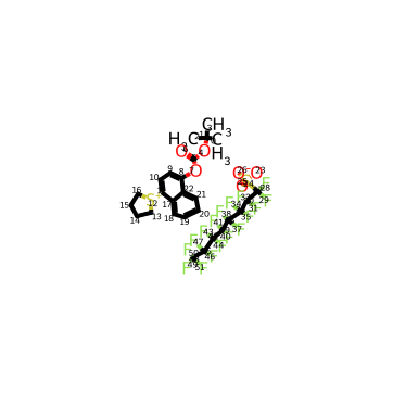 CC(C)(C)OC(=O)Oc1ccc([S+]2CCCC2)c2ccccc12.O=S(=O)([O-])C(F)(F)C(F)(F)C(F)(F)C(F)(F)C(F)(F)C(F)(F)C(F)(F)C(F)(F)F